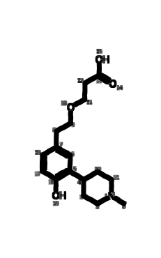 CN1CCC(c2cc(CCOCCC(=O)O)ccc2O)CC1